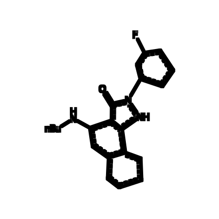 CCCCNc1cc2ccccc2c2[nH]n(-c3cccc(F)c3)c(=O)c12